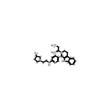 C=C(CC)N1CCc2c([nH]c3ccccc23)[C@H]1c1ccc(NCCN2CCC(F)C2)nc1